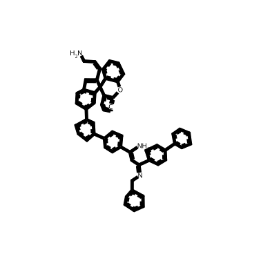 NC/C=C\C1=Cc2ccc(-c3cccc(-c4ccc(/C(N)=C/C(=N\Cc5ccccc5)c5ccc(-c6ccccc6)cc5)cc4)c3)cc2C12c1ccccc1Oc1ccccc12